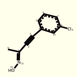 CC(C#Cc1cccc(Cl)c1)=NO